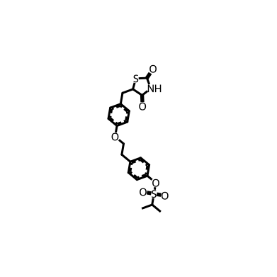 CC(C)S(=O)(=O)Oc1ccc(CCOc2ccc(CC3SC(=O)NC3=O)cc2)cc1